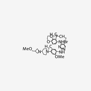 COCC1CN(C2CCN(c3cc(OC)c(Nc4ncc(Br)c(Nc5ccc6c(c5P(C)C)OCCO6)n4)cc3C)CC2)C1